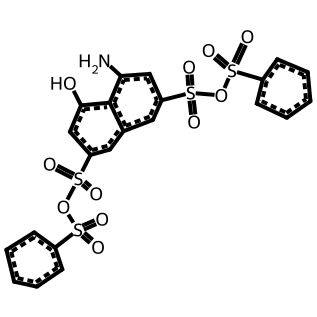 Nc1cc(S(=O)(=O)OS(=O)(=O)c2ccccc2)cc2cc(S(=O)(=O)OS(=O)(=O)c3ccccc3)cc(O)c12